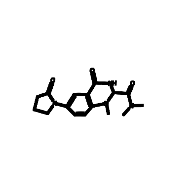 CN(C)C(=O)C1NC(=O)c2cc(N3CCCC3=O)ccc2N1C